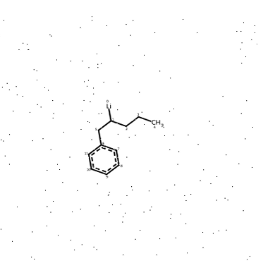 [Li][CH](CCC)Cc1ccccc1